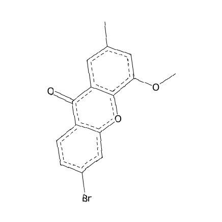 COc1cc(C)cc2c(=O)c3ccc(Br)cc3oc12